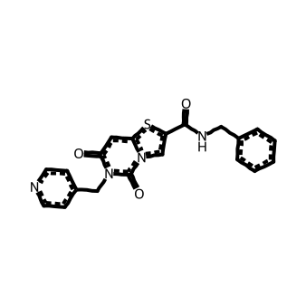 O=C(NCc1ccccc1)c1cn2c(=O)n(Cc3ccncc3)c(=O)cc2s1